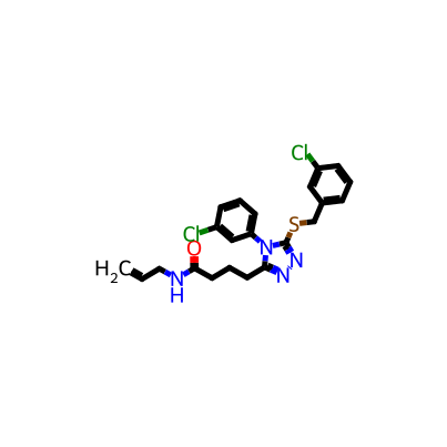 C=CCNC(=O)CCCc1nnc(SCc2cccc(Cl)c2)n1-c1cccc(Cl)c1